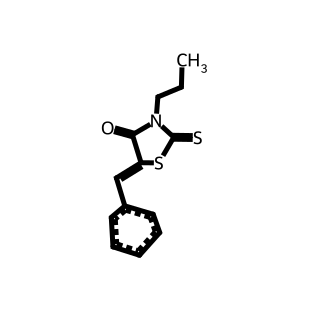 CCCN1C(=O)C(=Cc2ccccc2)SC1=S